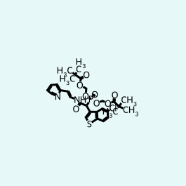 CC(C)(C)C(=O)OCOP(=O)(OCOC(=O)C(C)(C)C)C(C(=O)NC=Cc1ccccn1)c1csc2ccc(Cl)cc12